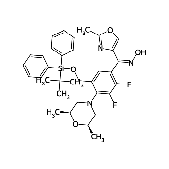 Cc1nc(/C(=N\O)c2cc(CO[Si](c3ccccc3)(c3ccccc3)C(C)(C)C)c(N3C[C@@H](C)O[C@@H](C)C3)c(F)c2F)co1